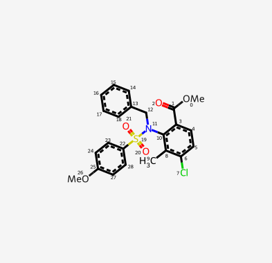 COC(=O)c1ccc(Cl)c(C)c1N(Cc1ccccc1)S(=O)(=O)c1ccc(OC)cc1